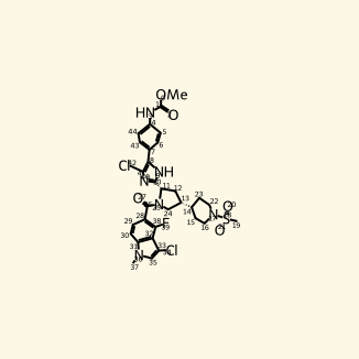 COC(=O)Nc1ccc(-c2[nH]c([C@@H]3C[C@H](C4CCN(S(C)(=O)=O)CC4)CN3C(=O)c3ccc4c(c(Cl)cn4C)c3F)nc2Cl)cc1